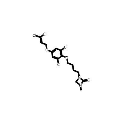 CN1CN(CCCCOc2c(Cl)cc(OCC=C(Cl)Cl)cc2Cl)C1=O